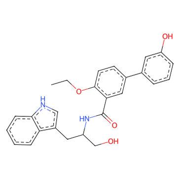 CCOc1ccc(-c2cccc(O)c2)cc1C(=O)NC(CO)Cc1c[nH]c2ccccc12